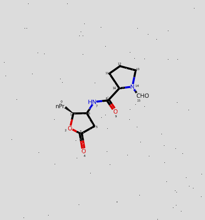 CCC[C@@H]1OC(=O)CC1NC(=O)C1CCCN1C=O